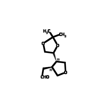 CC1(C)OCC([C@@H]2COC[C@H]2CC=O)O1